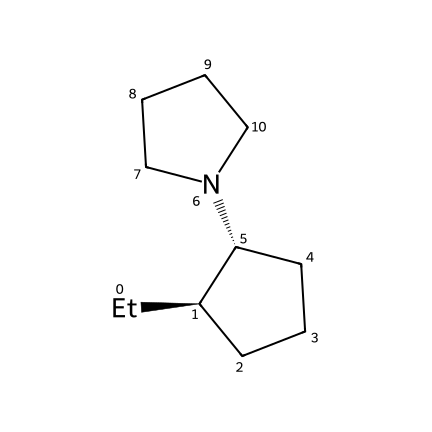 CC[C@@H]1CCC[C@H]1N1CCCC1